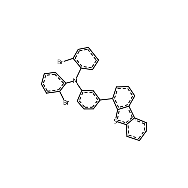 Brc1ccccc1N(c1cccc(-c2cccc3c2sc2ccccc23)c1)c1ccccc1Br